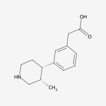 C[C@@H]1CNCC[C@@H]1c1cccc(CC(=O)O)c1